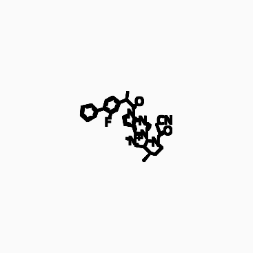 CC(C(=O)n1ccc2c(/[N+](C)=C\C3CN(C(=O)CC#N)CC[C@H]3C)ncnc21)c1ccc(-c2ccccc2)c(F)c1